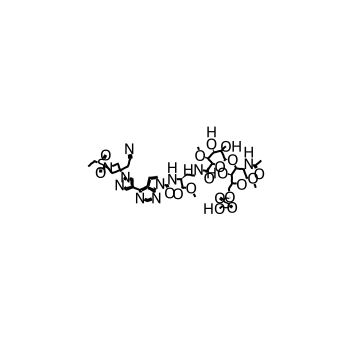 CCS(=O)(=O)N1CC(CC#N)(n2cc(-c3ncnc4c3ccn4C(=O)N[C@@H](CCNC(=O)C3O[C@@H](OC4[C@H](O)C(COS(=O)(=O)O)O[C@@H](OC)[C@H]4NC(C)=O)C(O)[C@@H](O)[C@@H]3OC)C(=O)OC)cn2)C1